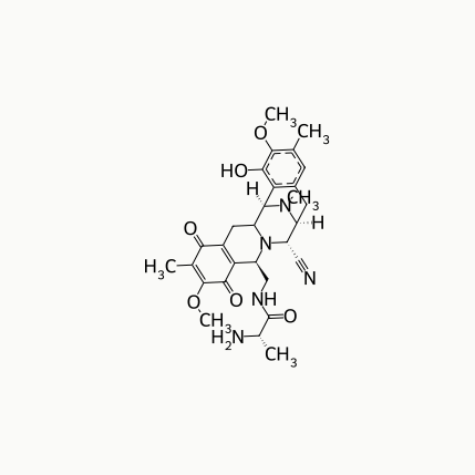 COC1=C(C)C(=O)C2=C(C1=O)[C@H](CNC(=O)[C@H](C)N)N1C(C2)[C@H]2c3c(cc(C)c(OC)c3O)C[C@@H]([C@@H]1C#N)N2C